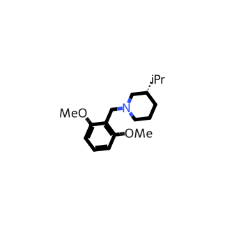 COc1cccc(OC)c1CN1CCC[C@@H](C(C)C)C1